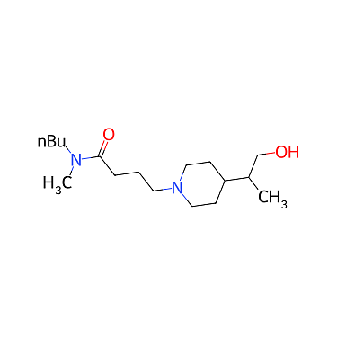 CCCCN(C)C(=O)CCCN1CCC(C(C)CO)CC1